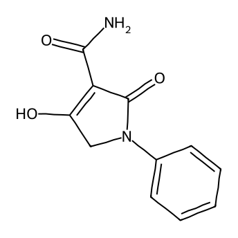 NC(=O)C1=C(O)CN(c2ccccc2)C1=O